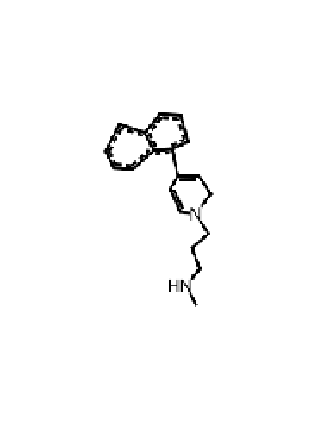 CNCCCN1C=CC(c2cccc3ccccc23)=CC1